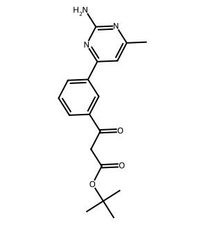 Cc1cc(-c2cccc(C(=O)CC(=O)OC(C)(C)C)c2)nc(N)n1